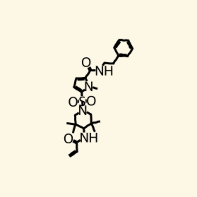 C=CC(=O)NC1C(C)(C)CN(S(=O)(=O)c2ccc(C(=O)NCCc3ccccc3)n2C)CC1(C)C